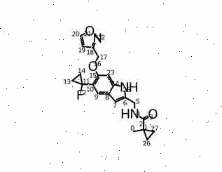 CC1(C(=O)NCc2cc3cc(C4(F)CC4)c(OCc4ccon4)cc3[nH]2)CC1